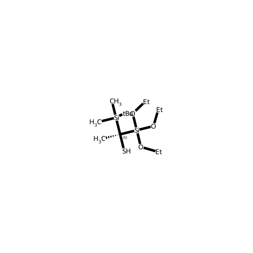 CCO[Si](OCC)(OCC)[C@@](C)(S)[Si](C)(C)C(C)(C)C